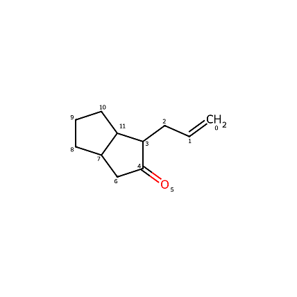 C=CCC1C(=O)CC2CCCC21